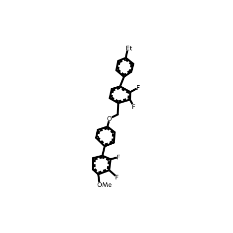 CCc1ccc(-c2ccc(COc3ccc(-c4ccc(OC)c(F)c4F)cc3)c(F)c2F)cc1